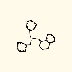 c1ccc(CN(Cc2ccccc2)/N=C2\CCCc3ccccc32)cc1